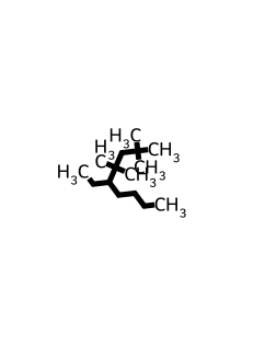 CCCCC(CC)C(C)(C)CC(C)(C)C